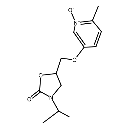 Cc1ccc(OCC2CN(C(C)C)C(=O)O2)c[n+]1[O-]